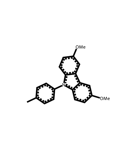 COc1ccc2c(c1)c1cc(OC)ccc1n2-c1ccc(C)cc1